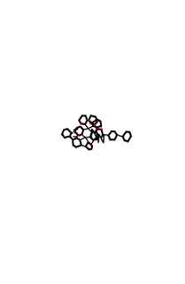 c1ccc(-c2ccc(-c3cc(-c4ccccc4)nc(-c4cccc5c4C4(c6ccccc6C6(c7ccccc7-c7ccccc76)c6ccccc64)c4c-5ccc5c4sc4ccccc45)n3)cc2)cc1